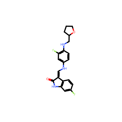 O=C1Nc2cc(F)ccc2/C1=C\Nc1ccc(NCC2CCCO2)c(F)c1